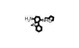 Cn1c2ccccc2c2c(NCc3ccco3)ccc(N)c21